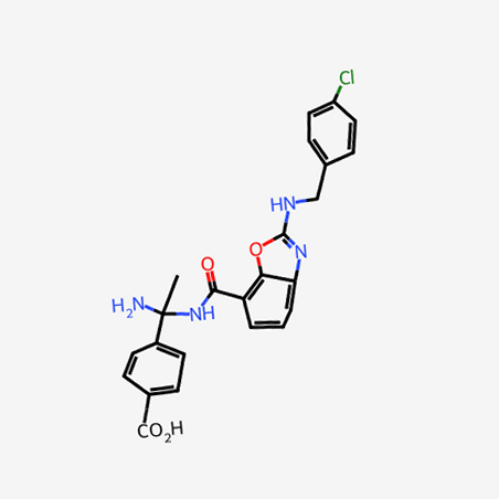 CC(N)(NC(=O)c1cccc2nc(NCc3ccc(Cl)cc3)oc12)c1ccc(C(=O)O)cc1